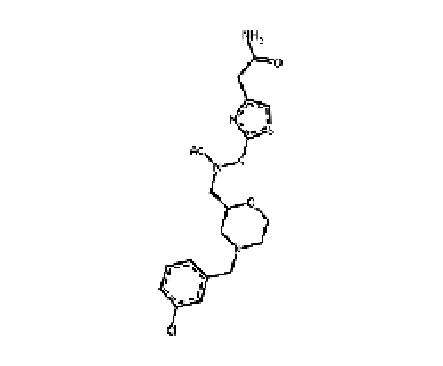 CC(=O)N(C[C@@H]1CN(Cc2cccc(Cl)c2)CCO1)Sc1nc(CC(N)=O)cs1